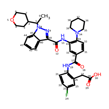 CC(C1CCOCC1)n1nc(C(=O)Nc2cc(C(=O)Nc3ccc(F)cc3CC(=O)O)ccc2N2CCCCC2)c2ccccc21